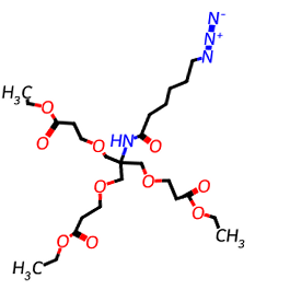 CCOC(=O)CCOCC(COCCC(=O)OCC)(COCCC(=O)OCC)NC(=O)CCCCCN=[N+]=[N-]